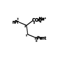 CCCCCCC(CCC)C(=O)[O-].[Na+]